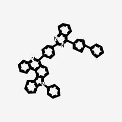 c1ccc(-c2ccc(-c3nc(-c4ccc(-c5nc6ccccc6c6c5ccc5c6c6ccccc6n5-c5ccccc5)cc4)nc4ccccc34)cc2)cc1